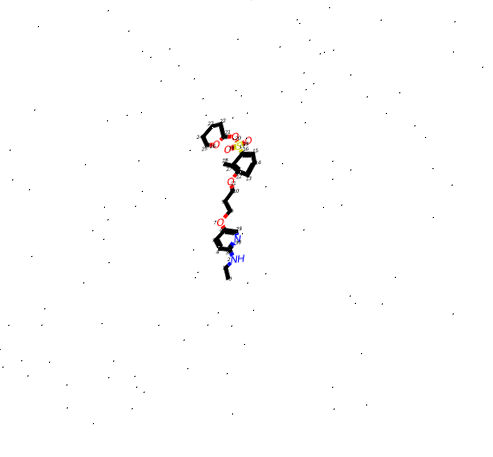 CCNc1ccc(OCCCOc2cccc(S(=O)(=O)OC3CCCCO3)c2C)cn1